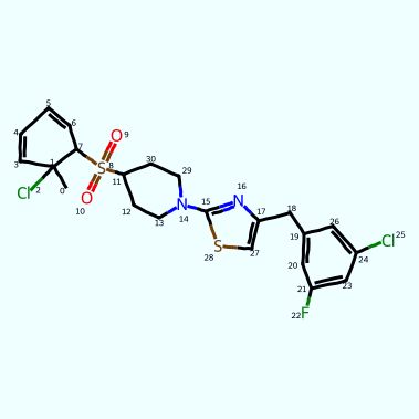 CC1(Cl)C=CC=CC1S(=O)(=O)C1CCN(c2nc(Cc3cc(F)cc(Cl)c3)cs2)CC1